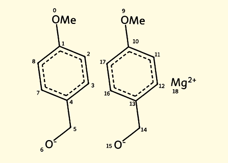 COc1ccc(C[O-])cc1.COc1ccc(C[O-])cc1.[Mg+2]